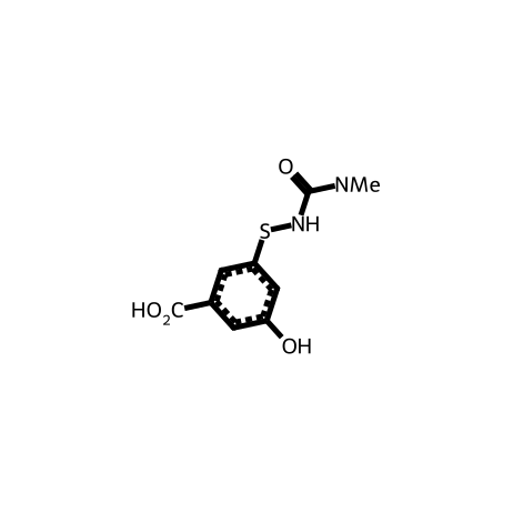 CNC(=O)NSc1cc(O)cc(C(=O)O)c1